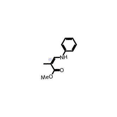 COC(=O)/C(C)=C\Nc1ccccc1